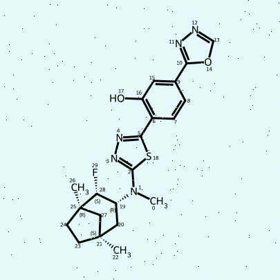 CN(c1nnc(-c2ccc(-c3nnco3)cc2O)s1)[C@@H]1C[C@@]2(C)CC[C@](C)(C2)[C@@H]1F